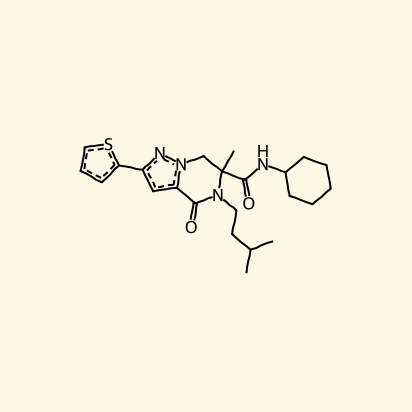 CC(C)CCN1C(=O)c2cc(-c3cccs3)nn2CC1(C)C(=O)NC1CCCCC1